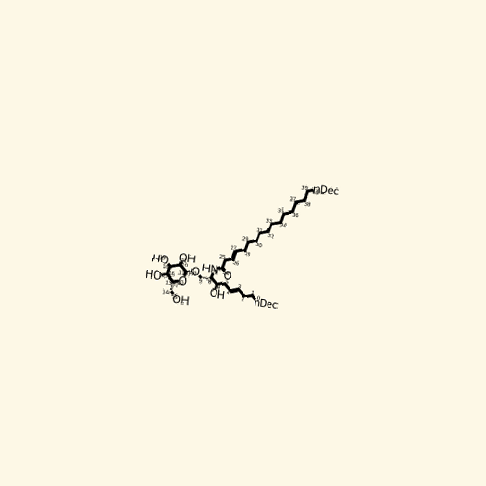 CCCCCCCCCCCCC=CC[C@@H](O)[C@H](CO[C@@H]1O[C@H](CO)[C@@H](O)C(O)C1O)NC(=O)CC=CCCCCCCCCCCCCCCCCCCCCCC